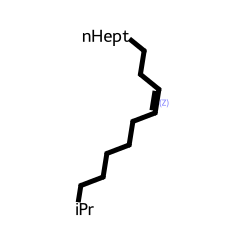 C[CH]CCCCCCC/C=C\CCCCCC(C)C